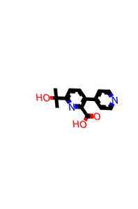 CC(C)(O)c1ccc(-c2ccncc2)c(C(=O)O)n1